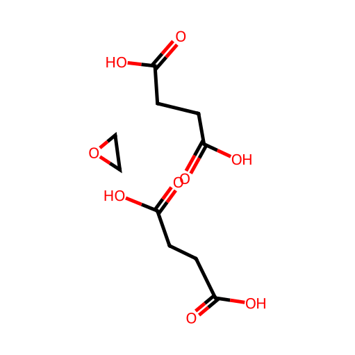 C1CO1.O=C(O)CCC(=O)O.O=C(O)CCC(=O)O